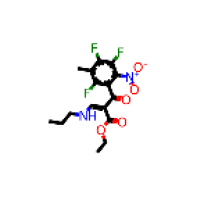 CCCNC=C(C(=O)OCC)C(=O)c1c(F)c(C)c(F)c(F)c1[N+](=O)[O-]